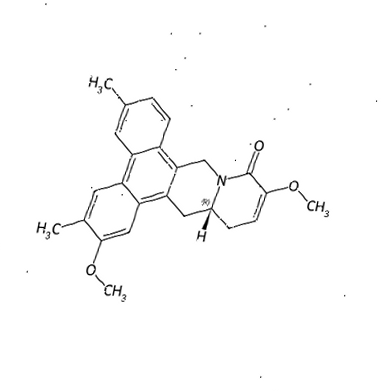 COC1=CC[C@@H]2Cc3c(c4ccc(C)cc4c4cc(C)c(OC)cc34)CN2C1=O